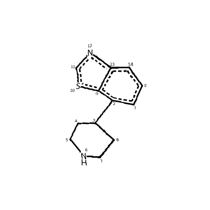 c1cc(C2CCNCC2)c2scnc2c1